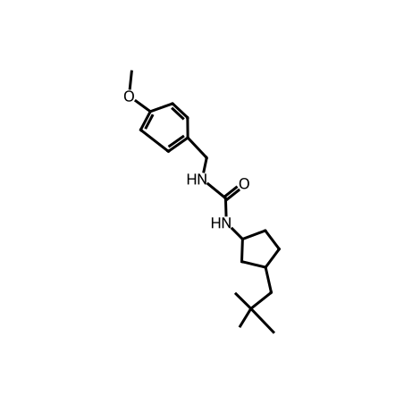 COc1ccc(CNC(=O)NC2CCC(CC(C)(C)C)C2)cc1